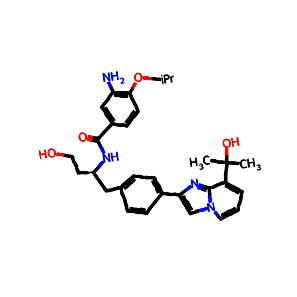 CC(C)Oc1ccc(C(=O)N[C@H](CCO)Cc2ccc(-c3cn4cccc(C(C)(C)O)c4n3)cc2)cc1N